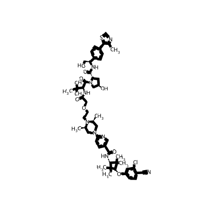 Cc1ncsc1-c1ccc([C@H](CO)NC(=O)[C@@H]2C[C@@H](O)CN2C(=O)[C@@H](NC(=O)COCCN2[C@H](C)CN(c3ccc(C(=O)N[C@H]4C(C)(C)[C@H](Oc5ccc(C#N)c(Cl)c5)C4(C)C)cn3)C[C@@H]2C)C(C)(C)C)cc1